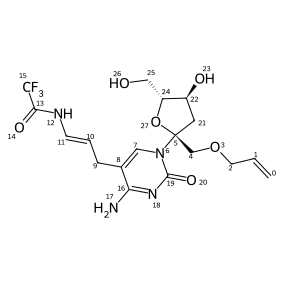 C=CCOC[C@]1(n2cc(CC=CNC(=O)C(F)(F)F)c(N)nc2=O)C[C@H](O)[C@@H](CO)O1